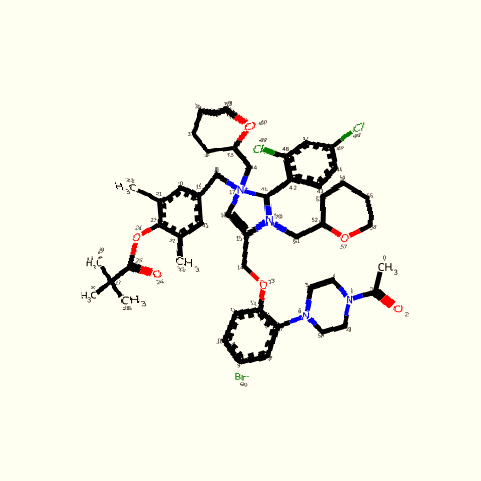 CC(=O)N1CCN(c2ccccc2OCC2=C[N+](Cc3cc(C)c(OC(=O)C(C)(C)C)c(C)c3)(CC3CCCCO3)C(c3ccc(Cl)cc3Cl)N2CC2CCCCO2)CC1.[Br-]